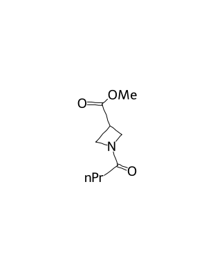 CCCC(=O)N1CC(C(=O)OC)C1